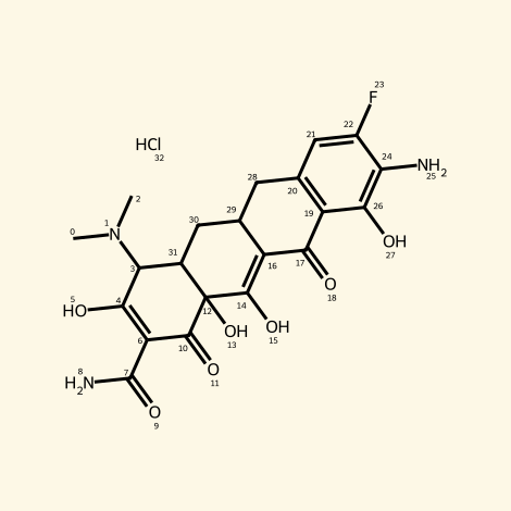 CN(C)C1C(O)=C(C(N)=O)C(=O)C2(O)C(O)=C3C(=O)c4c(cc(F)c(N)c4O)CC3CC12.Cl